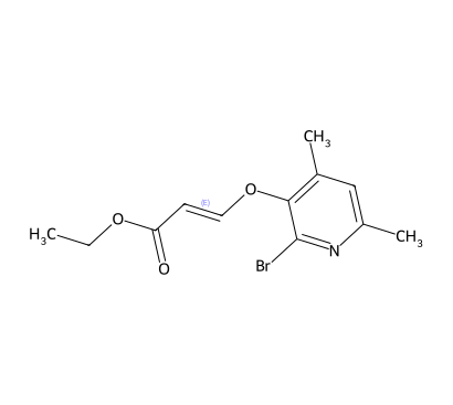 CCOC(=O)/C=C/Oc1c(C)cc(C)nc1Br